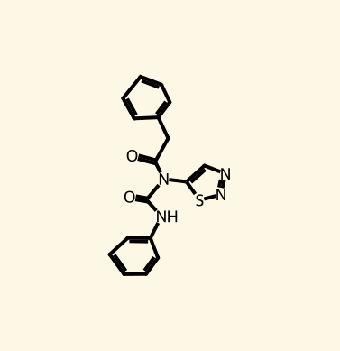 O=C(Cc1ccccc1)N(C(=O)Nc1ccccc1)c1cnns1